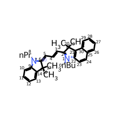 CCCC[N+]1=C(C=C/C=C2/N(CCC)c3ccccc3C2(C)C)C(C)(C)c2c1ccc1ccccc21